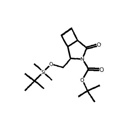 CC(C)(C)OC(=O)N1C(=O)C2CCC2C1CO[Si](C)(C)C(C)(C)C